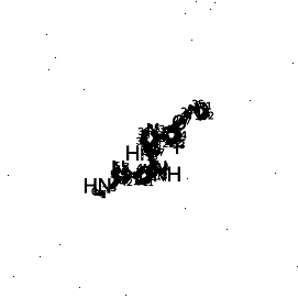 CCNCc1cncc(-c2ccc3[nH]nc(-c4cc5c(-c6cc(F)cc(OCCN7CCCC7)c6)nccc5[nH]4)c3c2)c1